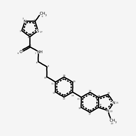 Cc1ncc(C(=O)NCCCc2ccc(-c3ccc4c(cnn4C)c3)cc2)s1